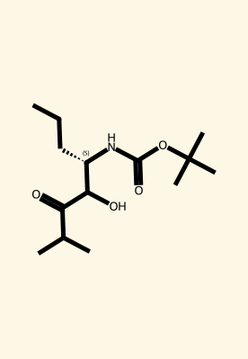 CCC[C@H](NC(=O)OC(C)(C)C)C(O)C(=O)C(C)C